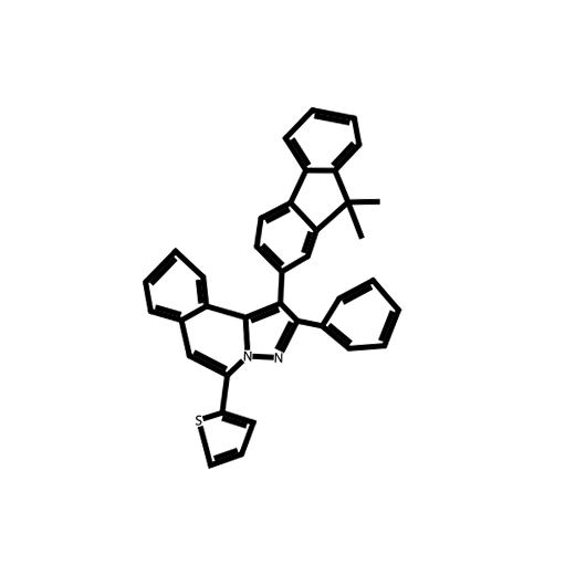 CC1(C)c2ccccc2-c2ccc(-c3c(-c4ccccc4)nn4c(-c5cccs5)cc5ccccc5c34)cc21